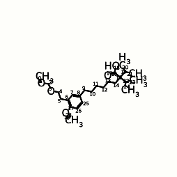 COCOCCc1cc(CCCCCCC(C(=O)O)(C(C)C)C(C)C)ccc1OC